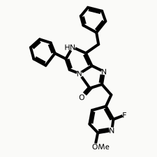 COc1ccc(Cc2nc3c(Cc4ccccc4)[nH]c(-c4ccccc4)cn-3c2=O)c(F)n1